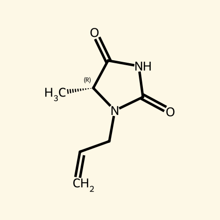 C=CCN1C(=O)NC(=O)[C@H]1C